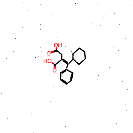 O=C(O)CC(C(=O)O)=C(c1ccccc1)C1CCCCC1